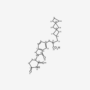 O=C1CCC(N2Cc3ccc(CN(CC4CC5(C4)CC4(CCC4)C5)C(=O)O)cc3C2=O)C(=O)N1